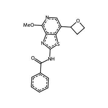 COc1ncc(C2CCO2)c2sc(NC(=O)c3ccccc3)nc12